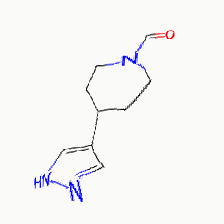 O=CN1CCC(c2cn[nH]c2)CC1